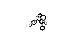 O=C(c1cc(-c2ccccc2)c(=O)n2c1-c1sccc1CCC2)N1CCC(O)CC1